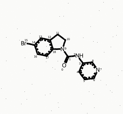 O=C(Nc1cccnc1)N1CCc2cc(Br)ccc21